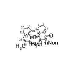 CCCCCCCCCC1C(=O)c2ccccc2C=C1C.CCCCCCCCCC1C(=O)c2ccccc2C=C1C